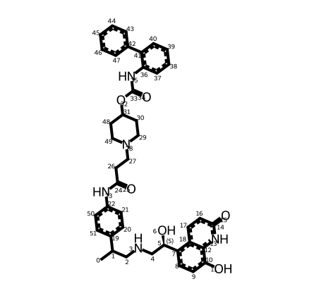 CC(CNC[C@@H](O)c1ccc(O)c2[nH]c(=O)ccc12)c1ccc(NC(=O)CCN2CCC(OC(=O)Nc3ccccc3-c3ccccc3)CC2)cc1